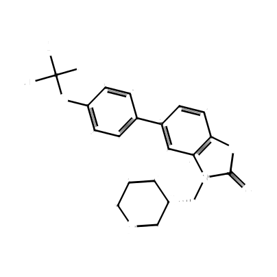 O=c1oc2ccc(-c3ccc(OC(F)(F)F)cc3)cc2n1C[C@H]1CCCOC1